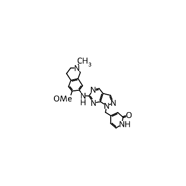 COc1cc2c(cc1Nc1ncc3cnn(Cc4cc[nH]c(=O)c4)c3n1)CN(C)CC2